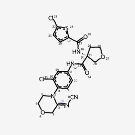 N#C/N=C1/COCCN1c1ccc(NC(=O)[C@@]2(NC(=O)c3ccc(Cl)s3)CCOC2)cc1Cl